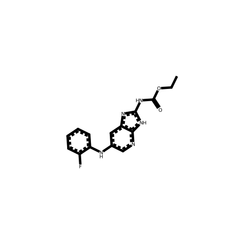 CCOC(=O)Nc1nc2cc(Nc3ccccc3F)cnc2[nH]1